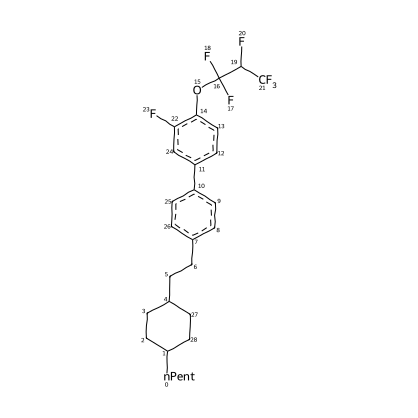 CCCCCC1CCC(CCc2ccc(-c3ccc(OC(F)(F)C(F)C(F)(F)F)c(F)c3)cc2)CC1